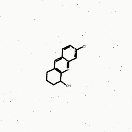 OC1CCCc2cc3ccc(Cl)cc3nc21